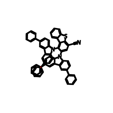 N#Cc1cc(-n2c3ccc(-c4ccccc4)cc3c3cc(-c4ccccc4)ccc32)c(-n2c3ccc(-c4ccccc4)cc3c3cc(-c4ccccc4)ccc32)c2c1sc1ccccc12